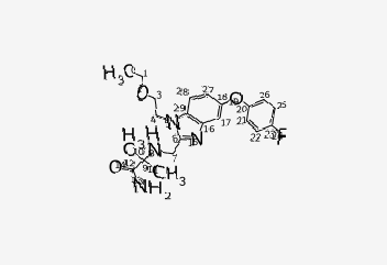 CCOCCn1c(CNC(C)(C)C(N)=O)nc2cc(Oc3ccc(F)cc3)ccc21